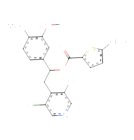 CCOc1cc(C(Cc2c(Cl)cncc2Cl)OC(=O)c2ccc(C=O)s2)ccc1OC